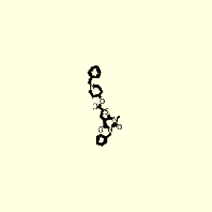 Cn1c(=O)n(Cc2ccccc2)c(=O)c2cc(C(=O)OC3CCN(Cc4ccccc4)CC3)sc21